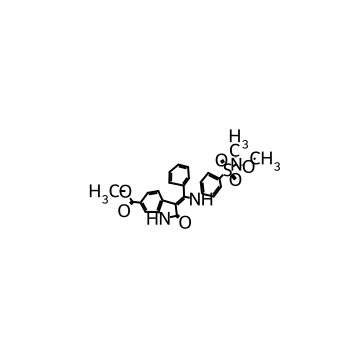 COC(=O)c1ccc2c(c1)NC(=O)/C2=C(\Nc1ccc(S(=O)(=O)N(C)OC)cc1)c1ccccc1